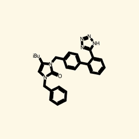 CCC(C)c1cn(Cc2ccccc2)c(=O)n1Cc1ccc(-c2ccccc2-c2nnn[nH]2)cc1